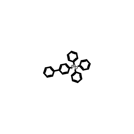 c1ccc(-c2cc[c]([Pb]([c]3ccccc3)([c]3ccccc3)[c]3ccccc3)cc2)cc1